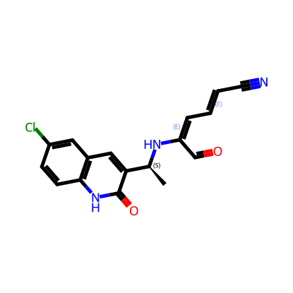 C[C@H](N/C(C=O)=C/C=C/C#N)c1cc2cc(Cl)ccc2[nH]c1=O